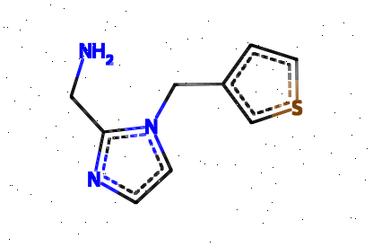 NCc1nccn1Cc1ccsc1